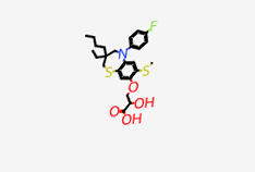 CCCCC1(CC)CSc2cc(OCC(O)C(=O)O)c(SC)cc2N(c2ccc(F)cc2)C1